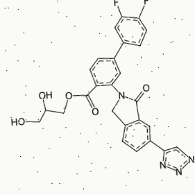 O=C(OCC(O)CO)c1ccc(-c2ccc(F)c(F)c2)cc1N1Cc2ccc(-c3c[nH]nn3)cc2C1=O